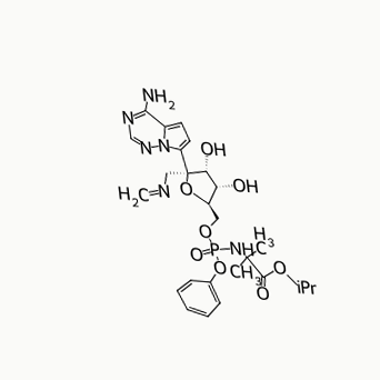 C=NC[C@@]1(c2ccc3c(N)ncnn23)O[C@H](COP(=O)(NC(C)(C)C(=O)OC(C)C)Oc2ccccc2)[C@@H](O)[C@H]1O